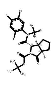 [2H]C([2H])([2H])N(C(=O)[C@@H]1[C@H]2CCC[C@H]2C(=O)N1C(=O)OC(C)(C)C)c1cc(Cl)c(F)cc1F